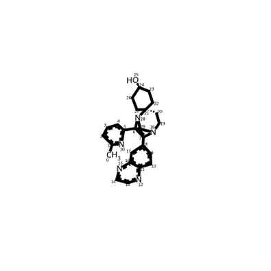 Cc1cccc(C2=C(c3ccc4nccnc4c3)N3CC[C@]4(CC[C@H](O)CC4)N2C3)n1